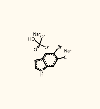 Clc1cc2[nH]ccc2cc1Br.O=P([O-])([O-])O.[Na+].[Na+]